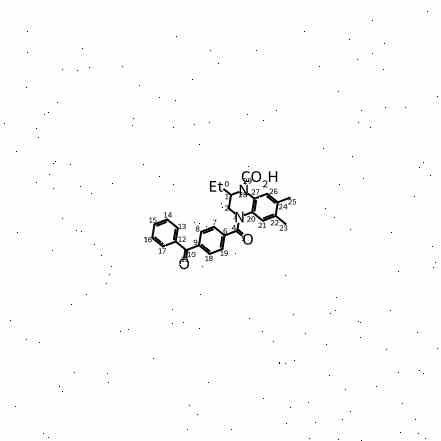 CCC1CN(C(=O)c2ccc(C(=O)c3ccccc3)cc2)c2cc(C)c(C)cc2N1C(=O)O